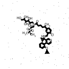 CC(CCCC(=O)N(CCS(=O)(=O)N(C)C)CC(O)C(O)C(O)C(O)CO)c1ccc(Cl)c(CNC2(c3cnccc3-c3ccccc3OC3CC3)CC2)c1